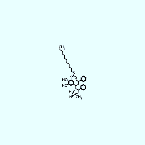 CCCCCCCCCCCCSC(=S)SCC(CC(CC(CC(C)(C)C#N)c1ccccc1)c1ccc(O)c(O)c1)c1ccccc1